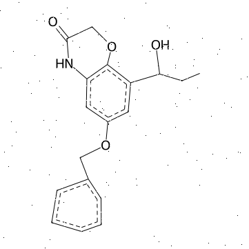 CCC(O)c1cc(OCc2ccccc2)cc2c1OCC(=O)N2